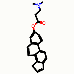 CN(C)CCC(=O)Oc1ccc2c(ccc3c4c(ccc32)C=CC4)c1